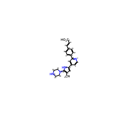 N#Cc1cc(-c2ccnc(-c3ccc(C=CC(=O)O)cc3)c2)[nH]c1N1CCNCC1